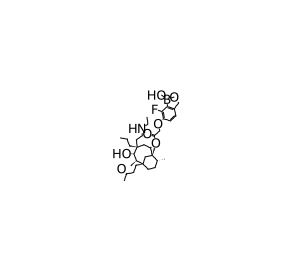 CCC[C@@]1(CCNCC)C[C@@H](OC(=O)COc2ccc3c(c2F)B(O)OC3)[C@@]2(C)C[C@](CCC(C)=O)(CC[C@H]2C)[C@@H](C)[C@@H]1O